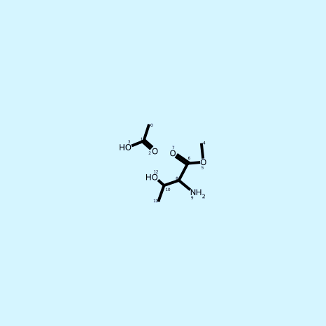 CC(=O)O.COC(=O)C(N)C(C)O